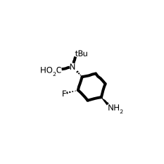 CC(C)(C)N(C(=O)O)[C@@H]1CC[C@@H](N)C[C@@H]1F